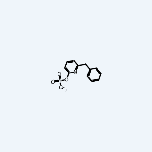 O=S(=O)(Oc1cccc(Cc2ccccc2)n1)C(F)(F)F